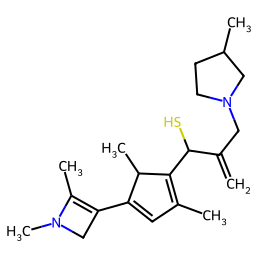 C=C(CN1CCC(C)C1)C(S)C1=C(C)C=C(C2=C(C)N(C)C2)C1C